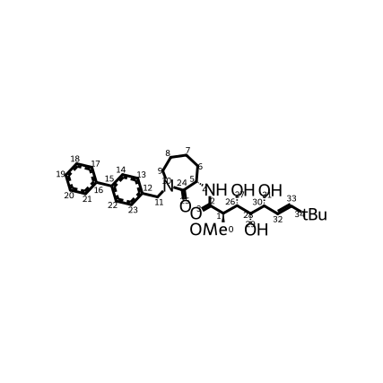 CO[C@@H](C(=O)N[C@H]1CCCCN(Cc2ccc(-c3ccccc3)cc2)C1=O)[C@H](O)[C@@H](O)[C@H](O)C=CC(C)(C)C